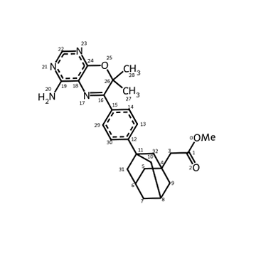 COC(=O)CC12CC3CC(C1)CC(c1ccc(C4=Nc5c(N)ncnc5OC4(C)C)cc1)(C3)C2